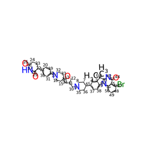 CC1(C)c2cc(C3CCN(CC4COC5(CCN(c6ccc(C7CCC(=O)NC7=O)cc6)CC5)C4)CC3)ccc2-n2c1nc(=O)c1c(Br)cccc12